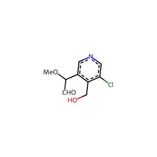 COC(C=O)c1cncc(Cl)c1CO